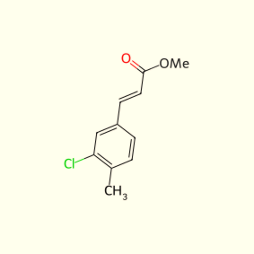 COC(=O)/C=C/c1ccc(C)c(Cl)c1